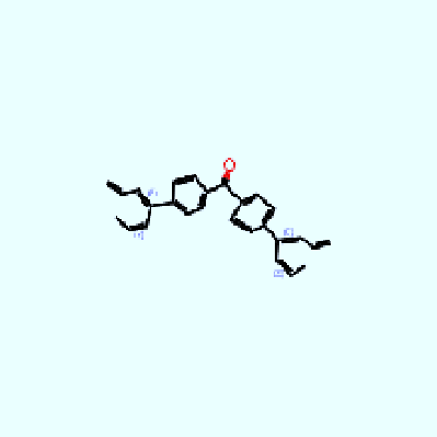 C=C/C=C(\C=C/C)c1ccc(C(=O)c2ccc(C(/C=C\C)=C/C=C)cc2)cc1